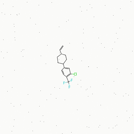 C=CC1CCC(c2ccc(C(F)(F)F)c(Cl)c2)CC1